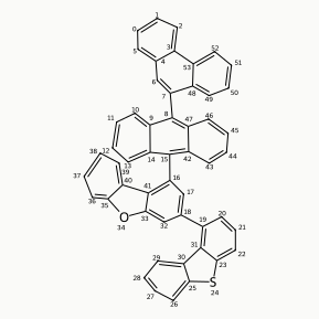 c1ccc2c(c1)cc(-c1c3ccccc3c(-c3cc(-c4cccc5sc6ccccc6c45)cc4oc5ccccc5c34)c3ccccc13)c1ccccc12